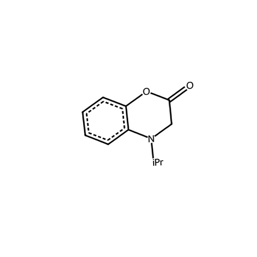 CC(C)N1CC(=O)Oc2ccccc21